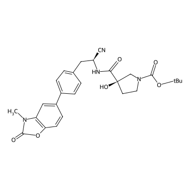 Cn1c(=O)oc2ccc(-c3ccc(C[C@@H](C#N)NC(=O)[C@@]4(O)CCN(C(=O)OC(C)(C)C)C4)cc3)cc21